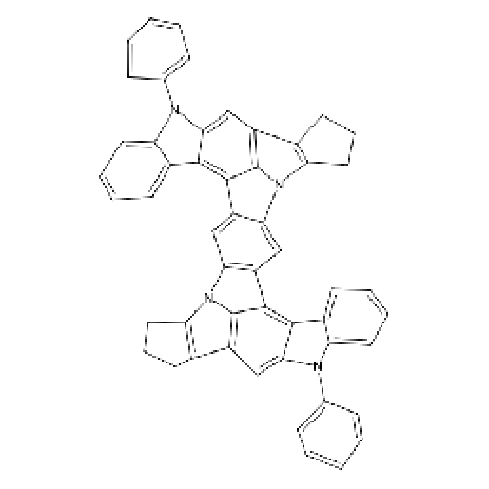 c1ccc(-n2c3ccccc3c3c4c5cc6c(cc5n5c7c(c(cc32)c45)CCC7)c2c3c4ccccc4n(-c4ccccc4)c3cc3c4c(n6c32)CCC4)cc1